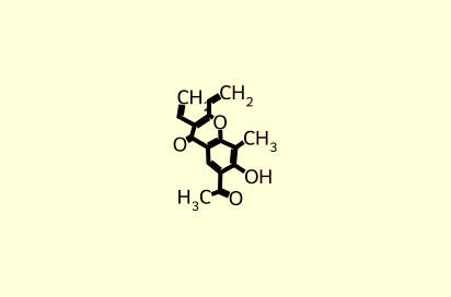 C=Cc1oc2c(C)c(O)c(C(C)=O)cc2c(=O)c1C=C